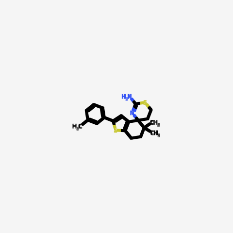 Cc1cccc(-c2cc3c(s2)CCC(C)(C)C32CCSC(N)=N2)c1